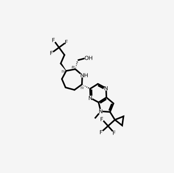 Cn1c(C2(C(F)(F)F)CC2)cc2ncc([C@@H]3CCC[C@@H](CCC(F)(F)F)[C@H](CO)N3)nc21